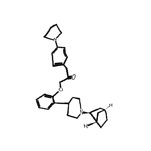 O=C(COc1ccccc1C1CCN([C@H]2C[C@H]3CC[C@H]2C3)CC1)c1ccc(N2CCCC2)cc1